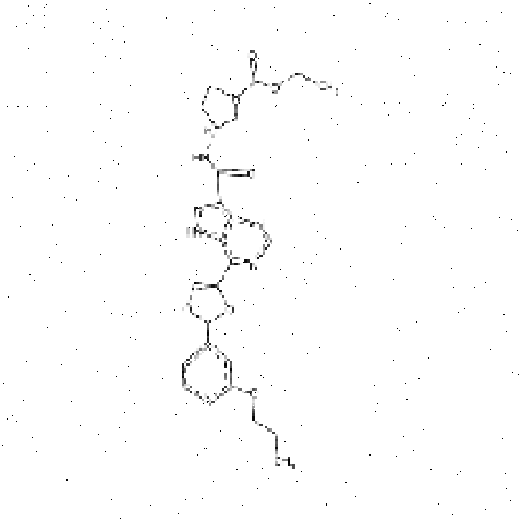 CCCOc1cccc(C2OC=C(c3ncnc4c(C(=O)N[C@@H]5CCN(C(=O)OCC)C5)c[nH]c34)O2)c1